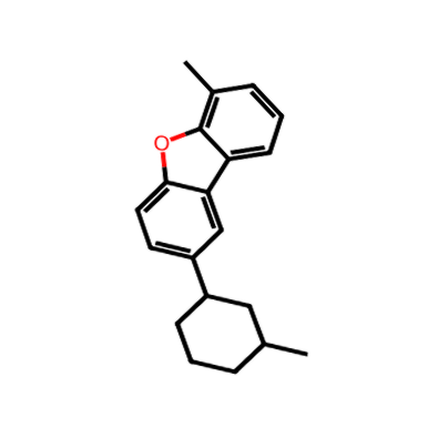 Cc1cccc2c1oc1ccc(C3CCCC(C)C3)cc12